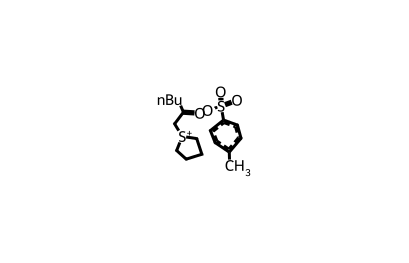 CCCCC(=O)C[S+]1CCCC1.Cc1ccc(S(=O)(=O)[O-])cc1